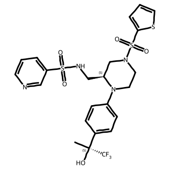 C[C@](O)(c1ccc(N2CCN(S(=O)(=O)c3cccs3)C[C@@H]2CNS(=O)(=O)c2cccnc2)cc1)C(F)(F)F